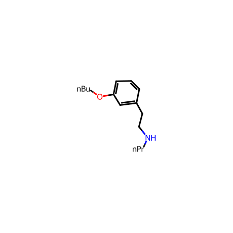 CCCCOc1cccc(CCNCCC)c1